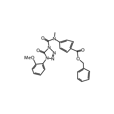 COc1ccccc1-n1nnn(C(=O)N(C)c2ccc(C(=O)OCc3ccccc3)cc2)c1=O